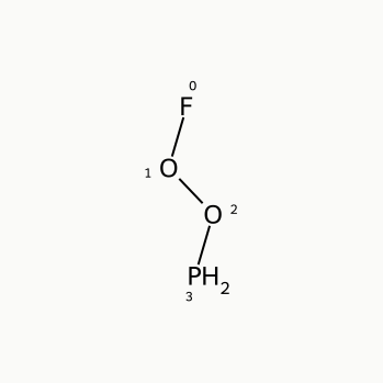 FOOP